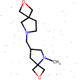 CN1CC(CN2CCC3(COC3)C2)CC12COC2